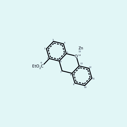 CCOC(=O)c1cccc2c1Cc1ccccc1O2.[Zn]